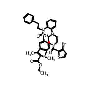 CCOC(=O)c1c(C)c2cc(S(=O)(=O)N(CCc3ccccc3)c3ccccc3N3CCN(C(=O)c4sccc4Br)CC3)ccc2n1C